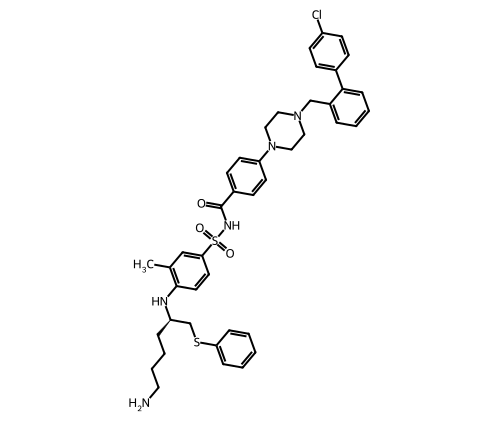 Cc1cc(S(=O)(=O)NC(=O)c2ccc(N3CCN(Cc4ccccc4-c4ccc(Cl)cc4)CC3)cc2)ccc1N[C@H](CCCCN)CSc1ccccc1